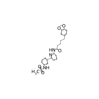 CS(=O)(=O)Nc1cccc(-c2cccc(NC(=O)CCCCc3ccc4c(c3)OCO4)n2)c1